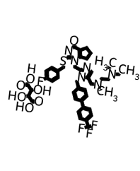 CCN(CC)CCN(C)Cc1cnc(Cn2c(SCc3ccc(F)cc3)nc(=O)c3c2CCC3)n1Cc1ccc(-c2ccc(C(F)(F)F)cc2)cc1.O=C(O)C(O)C(O)C(=O)O